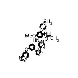 C=CC(=O)Nc1cc(Nc2cc(N3OCC[C@@H]3c3cccc(Oc4ccn5ncnc5c4)c3)ncn2)c(OC)cc1N1CCN(C)CC1